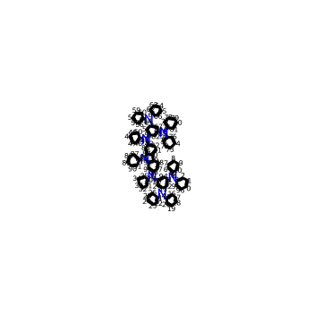 c1ccc(N(c2ccccc2)c2cc(N(c3ccccc3)c3ccccc3)cc(N(c3ccccc3)c3ccc4c5ccc(N(c6ccccc6)c6cc(N(c7ccccc7)c7ccccc7)cc(N(c7ccccc7)c7ccccc7)c6)cc5n(-c5ccccc5)c4c3)c2)cc1